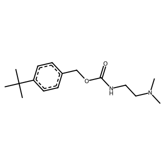 CN(C)CCNC(=O)OCc1ccc(C(C)(C)C)cc1